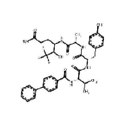 CC(C)[C@H](NC(=O)c1ccc(-c2ccccc2)cc1)C(=O)N[C@@H](Cc1ccc(O)cc1)C(=O)N[C@@H](C)C(=O)NC(CCC(N)=O)C(O)C(F)(F)F